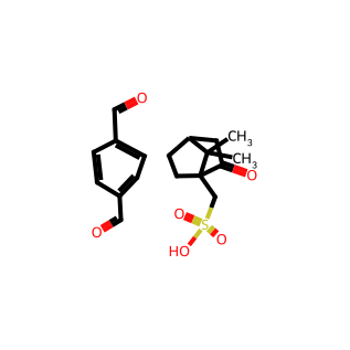 CC1(C)C2CCC1(CS(=O)(=O)O)C(=O)C2.O=Cc1ccc(C=O)cc1